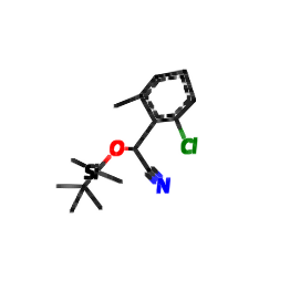 Cc1cccc(Cl)c1C(C#N)O[Si](C)(C)C(C)(C)C